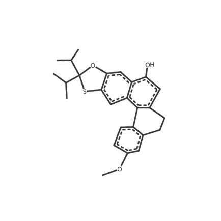 COc1ccc2c(c1)CCc1cc(O)c3cc4c(cc3c1-2)SC(C(C)C)(C(C)C)O4